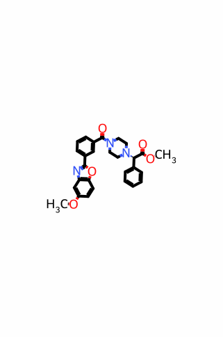 COC(=O)[C@H](c1ccccc1)N1CCN(C(=O)c2cccc(-c3nc4cc(OC)ccc4o3)c2)CC1